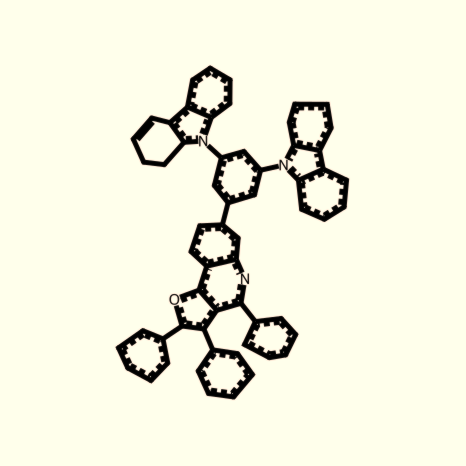 C1=Cc2c(n(-c3cc(-c4ccc5c(c4)nc(-c4ccccc4)c4c(-c6ccccc6)c(-c6ccccc6)oc45)cc(-n4c5ccccc5c5ccccc54)c3)c3ccccc23)CC1